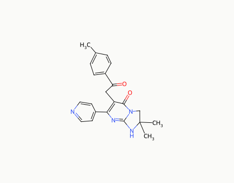 Cc1ccc(C(=O)Cc2c(-c3ccncc3)nc3n(c2=O)CC(C)(C)N3)cc1